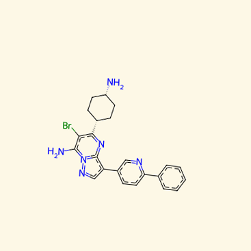 Nc1c(Br)c([C@H]2CC[C@@H](N)CC2)nc2c(-c3ccc(-c4ccccc4)nc3)cnn12